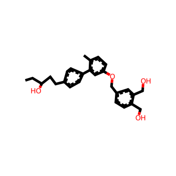 CCC(O)CCc1ccc(-c2cc(OCc3ccc(CO)c(CO)c3)ccc2C)cc1